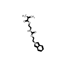 C=C(C)C(=O)OCCNC(=O)OCCn1cc2ccccc2c1